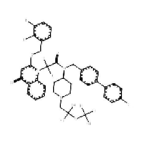 [2H]C([2H])([2H])OC([2H])([2H])CN1CCC(N(Cc2ccc(-c3ccc(C(F)(F)F)cc3)cc2)C(=O)C([2H])([2H])n2c(SCc3cccc(F)c3F)cc(=O)c3ccccc32)CC1